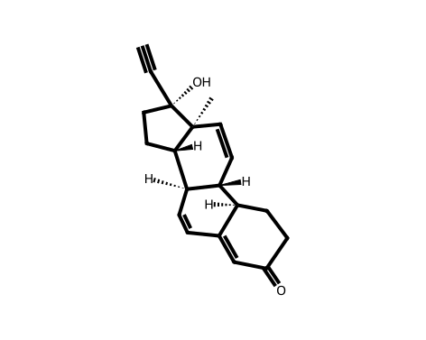 C#C[C@]1(O)CC[C@H]2[C@@H]3C=CC4=CC(=O)CC[C@@H]4[C@H]3C=C[C@@]21C